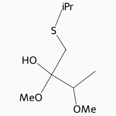 COC(C)C(O)(CSC(C)C)OC